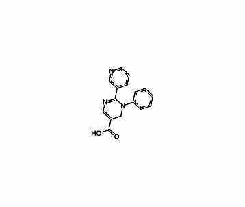 O=C(O)C1=CN=C(c2cccnc2)N(c2ccccc2)C1